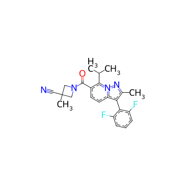 Cc1nn2c(C(C)C)c(C(=O)N3CC(C)(C#N)C3)ccc2c1-c1c(F)cccc1F